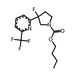 CCCCOC(=O)N1CCC(F)(c2cccc(C(F)(F)F)n2)C1